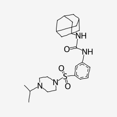 CC(C)N1CCN(S(=O)(=O)c2cccc(NC(=O)NC34CC5CC(CC(C5)C3)C4)c2)CC1